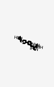 CC(C)c1c(-c2ccnc3[nH]ncc23)[nH]c2ccc(C3CCN(Cc4c[nH]cn4)CC3)cc12